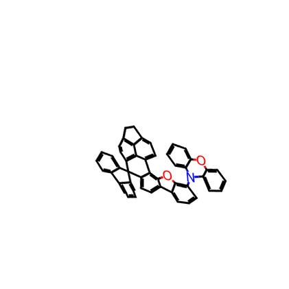 c1ccc2c(c1)Oc1ccccc1N2c1cccc2c1oc1c3c(ccc12)C1(c2ccccc2-c2ccccc21)c1ccc2c4c(ccc-3c14)CC2